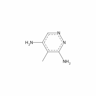 Cc1c(N)cnnc1N